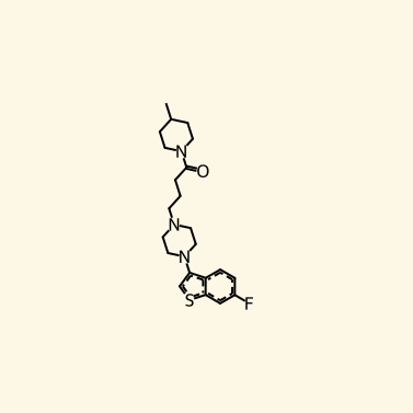 CC1CCN(C(=O)CCCN2CCN(c3csc4cc(F)ccc34)CC2)CC1